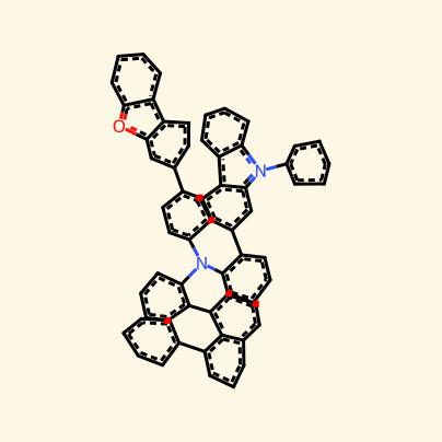 c1ccc(-c2cccc3cccc(-c4ccccc4N(c4ccc(-c5ccc6c(c5)oc5ccccc56)cc4)c4ccccc4-c4ccc5c6ccccc6n(-c6ccccc6)c5c4)c23)cc1